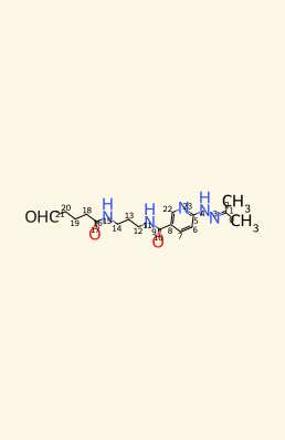 CC(C)=NNc1ccc(C(=O)NCCCNC(=O)CCCC=O)cn1